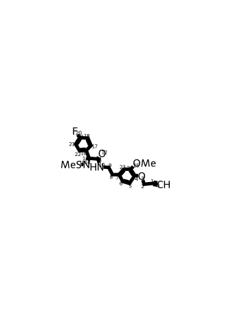 C#CCOc1ccc(CCNC(=O)C(=NSC)c2ccc(F)cc2)cc1OC